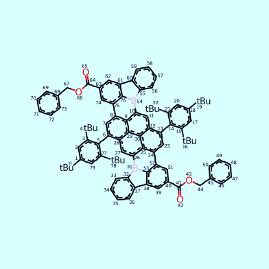 CC(C)(C)c1cc(C(C)(C)C)c(-c2cc3c4c(cc5c(-c6c(C(C)(C)C)cc(C(C)(C)C)cc6C(C)(C)C)cc6c7c(cc2c4c57)B2c4ccccc4-c4cc(C(=O)OCc5ccccc5)cc-6c42)B2c4ccccc4-c4cc(C(=O)OCc5ccccc5)cc-3c42)c(C(C)(C)C)c1